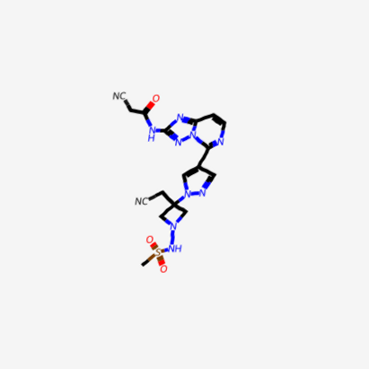 CS(=O)(=O)NN1CC(CC#N)(n2cc(-c3nccc4nc(NC(=O)CC#N)nn34)cn2)C1